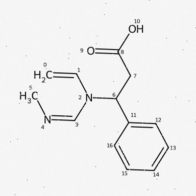 C=CN(/C=N\C)C(CC(=O)O)c1ccccc1